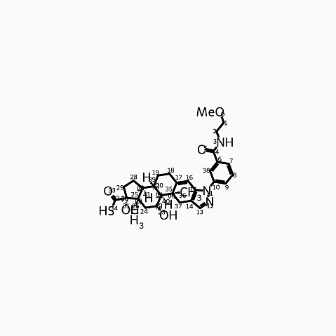 COCCNC(=O)c1cccc(-n2ncc3c2C=C2CC[C@@H]4[C@H]([C@@H](O)C[C@@]5(C)[C@H]4CC[C@]5(O)C(=O)S)[C@@]2(C)C3)c1